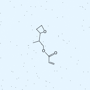 C=CC(=O)OCC(C)C1CCO1